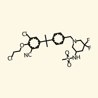 CC(C)(c1ccc(CN2CC(NS(C)(=O)=O)CC(F)(F)C2)cc1)c1cc(Cl)c(OCCCl)c(C#N)c1